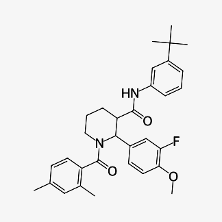 COc1ccc(C2C(C(=O)Nc3cccc(C(C)(C)C)c3)CCCN2C(=O)c2ccc(C)cc2C)cc1F